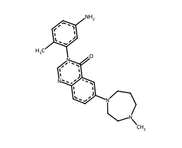 Cc1ccc(N)cc1-n1cnc2ccc(N3CCCN(C)CC3)cc2c1=O